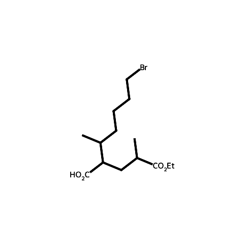 CCOC(=O)C(C)CC(C(=O)O)C(C)CCCCBr